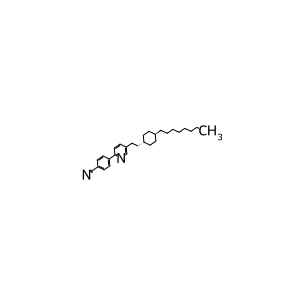 CCCCCCCC[C@H]1CC[C@H](CCc2ccc(-c3ccc(C#N)cc3)nc2)CC1